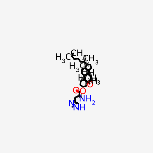 CC(C)CCC[C@@H](C)[C@H]1CC[C@H]2[C@@H]3C[C@@H]4O[C@@]45CC(OC(=O)[C@@H](N)Cc4c[nH]cn4)CC[C@]5(C)[C@H]3CC[C@]12C